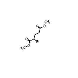 COC(=O)CC[C@@H](Br)C(=O)OC